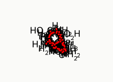 CCOC(C(N)=O)C1NC(=O)C(CCC(=O)O)N(C)C(=O)C(CC(C)C)NC(=O)C(CCCCN)NC(=O)C(C(C)O)NC(=O)C(NC(=O)C(NC(=O)C(O)C(O)C(CCC(N)=O)NC(=O)C(NC(=O)C(C)C(O)C(C)CC(C)C)C(O)C(N)=O)C(C)C(C)C(N)=O)C(C(C)C(C)C)OC(=O)C2CCCCN2C(=O)C(CC(=O)O)NC1=O